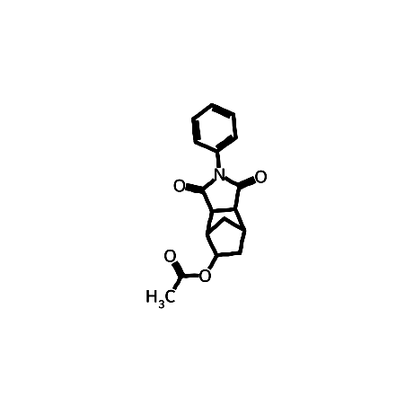 CC(=O)OC1CC2CC1C1C(=O)N(c3ccccc3)C(=O)C21